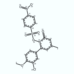 COc1ccc(-c2cc(C)cc(=O)n2OS(=O)(=O)c2ccc([N+](=O)[O-])cc2)cc1Cl